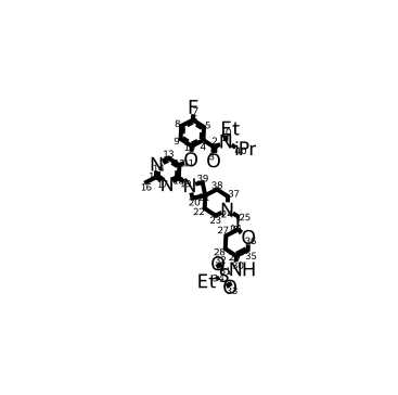 CCN(C(=O)c1cc(F)ccc1Oc1cnc(C)nc1N1CC2(CCN(C[C@@H]3CCC(NS(=O)(=O)CC)=CO3)CC2)C1)C(C)C